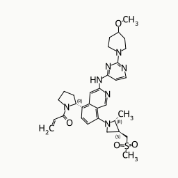 C=CC(=O)N1CCC[C@@H]1c1ccc(N2C[C@H](CS(C)(=O)=O)[C@H]2C)c2cnc(Nc3ccnc(N4CCC(OC)CC4)n3)cc12